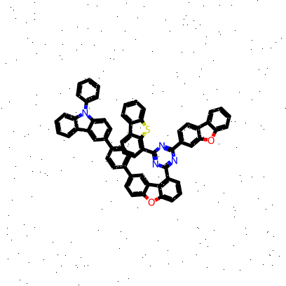 c1ccc(-n2c3ccccc3c3cc(-c4ccc(-c5ccc6oc7cccc(-c8nc(-c9ccc%10c(c9)oc9ccccc9%10)nc(-c9cccc%10c9sc9ccccc9%10)n8)c7c6c5)cc4)ccc32)cc1